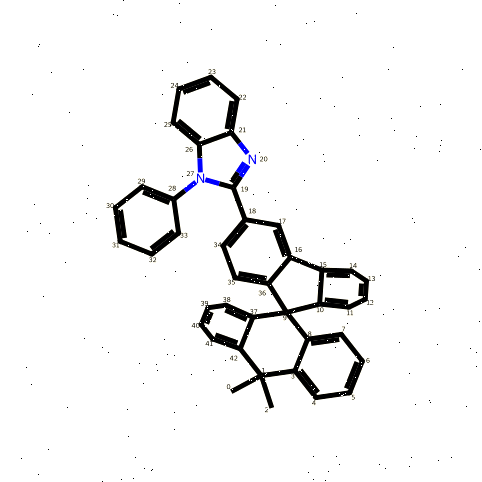 CC1(C)c2ccccc2C2(c3ccccc3-c3cc(-c4nc5ccccc5n4-c4ccccc4)ccc32)c2ccccc21